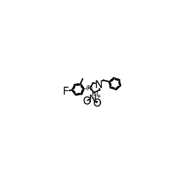 Cc1cc(F)ccc1[C@@H]1CN(Cc2ccccc2)C[C@H]1[N+](=O)[O-]